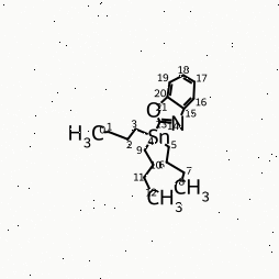 CCC[CH2][Sn]([CH2]CCC)([CH2]CCC)[c]1nc2ccccc2o1